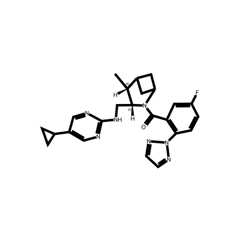 C[C@@H]1C2CC(C2)N(C(=O)c2cc(F)ccc2-n2nccn2)[C@@H]1CNc1ncc(C2CC2)cn1